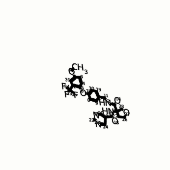 COc1ccc(Oc2ccc(CNC(=O)C3(NC(=O)c4cncnc4)CCOC3)cc2)c(C(F)(F)F)c1